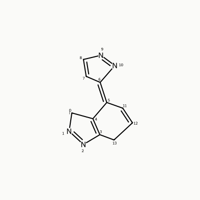 [C]1N=NC2=C1C(=C1C=CN=N1)C=CC2